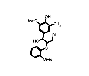 COc1ccccc1OC(CO)C(O)c1cc(C)c(O)c(OC)c1